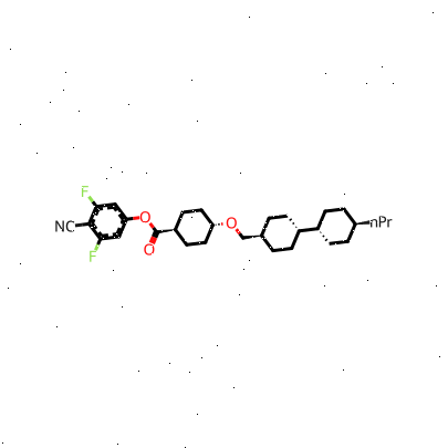 CCC[C@H]1CC[C@H]([C@H]2CC[C@H](CO[C@H]3CC[C@H](C(=O)Oc4cc(F)c(C#N)c(F)c4)CC3)CC2)CC1